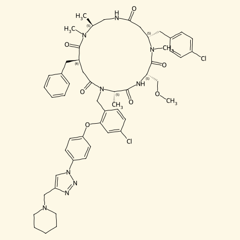 COC[C@@H]1NC(=O)[C@H](C)N(Cc2ccc(Cl)cc2Oc2ccc(-n3cc(CN4CCCCC4)nn3)cc2)C(=O)C[C@@H](Cc2ccccc2)C(=O)N(C)[C@@H](C)CNC(=O)C[C@H](Cc2ccc(Cl)cc2)N(C)C1=O